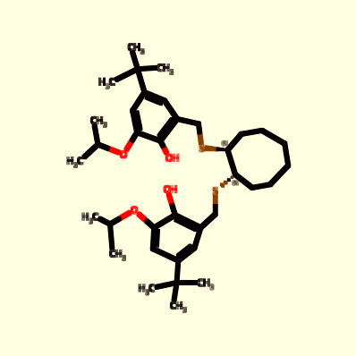 CC(C)Oc1cc(C(C)(C)C)cc(CS[C@H]2CCCCCC[C@@H]2SCc2cc(C(C)(C)C)cc(OC(C)C)c2O)c1O